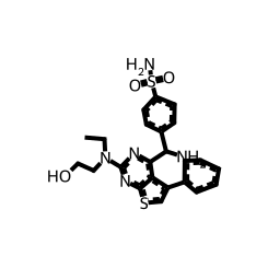 CCN(CCO)c1nc(C(N)c2ccc(S(N)(=O)=O)cc2)c2c(-c3ccccc3)csc2n1